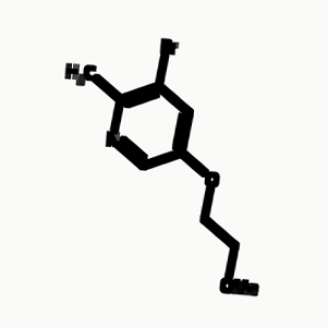 COCCOc1cnc(C)c(Br)c1